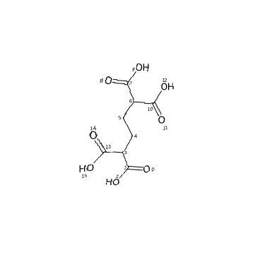 O=C(O)C(CCC(C(=O)O)C(=O)O)C(=O)O